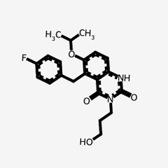 CC(C)Oc1ccc2[nH]c(=O)n(CCCO)c(=O)c2c1Cc1ccc(F)cc1